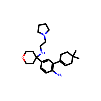 CC1(C)CC=C(c2cc(C3(NCCN4CCCC4)CCOCC3)ccc2N)CC1